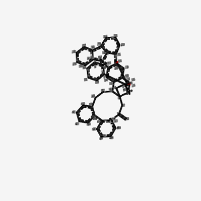 C=C1CC23Cc4c(-c5ccccc5)c(C)cc([n+]42)-c2cc4c5cccc6c7ccccc7n(c4cc2C3CCc2ccccc2-c2cccc[n+]21)c65